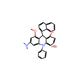 Br.COc1cccc2c1C(c1cccc3ccccc13)c1c(OC)cc(N(C)C)cc1N2c1ccccc1